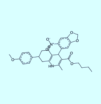 CCCCOC(=O)C1=C(C)NC2=C(C(=O)CC(c3ccc(OC)cc3)C2)C1c1cc2c(cc1[N+](=O)[O-])OCO2